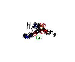 CCCCC1(CCCC)CS(=O)(=O)c2ccc(N(C)C)cc2C(c2ccc(OCc3ccc(C[n+]4ccccc4)cc3)cc2)C1O.[Cl-]